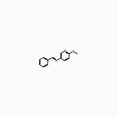 CSc1ccc(/N=C/c2ccccc2)cn1